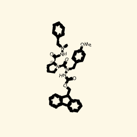 COc1ccc(CN(NC(=O)OCC2c3ccccc3-c3ccccc32)C(=O)N2CCC[C@H]2C(=O)NN(C)Cc2ccccc2)cc1